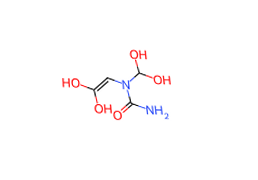 NC(=O)N(C=C(O)O)C(O)O